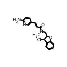 CN(CC1Oc2ccccc2C1Cl)C(=O)/C=C/c1ccc(N)nc1